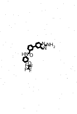 Nc1ncc2cc(-c3cccc(C(=O)Nc4cccc(OC(F)(F)C(F)F)c4)c3)ccc2n1